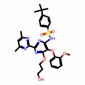 COc1ccccc1Oc1c(NS(=O)(=O)c2ccc(C(C)(C)C)cc2)nc(-c2nc(C)cc(C)n2)nc1OCCCO